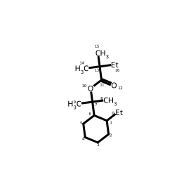 CCC1CCCCC1C(C)(C)OC(=O)C(C)(C)CC